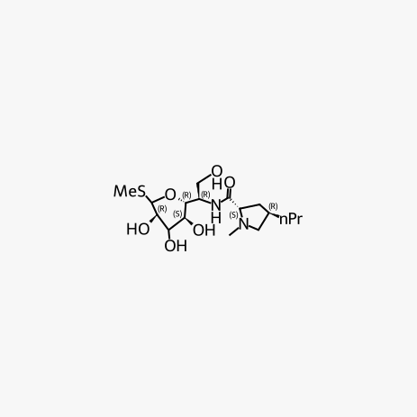 CCC[C@@H]1C[C@@H](C(=O)N[C@H](CO)[C@H]2OC(SC)[C@H](O)C(O)[C@@H]2O)N(C)C1